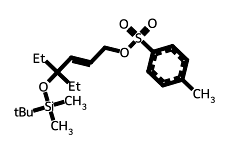 CCC(C=CCOS(=O)(=O)c1ccc(C)cc1)(CC)O[Si](C)(C)C(C)(C)C